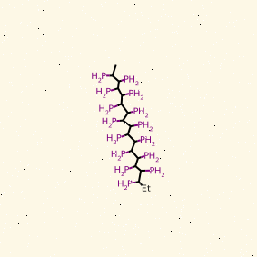 CCC(P)C(P)C(P)C(P)C(P)C(P)C(P)C(P)C(P)C(P)C(P)C(P)C(P)C(P)C(C)P